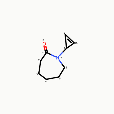 O=C1CCCCCN1C1C=C1